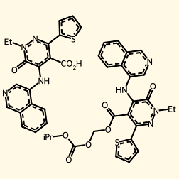 CCn1nc(-c2cccs2)c(C(=O)O)c(Nc2cncc3ccccc23)c1=O.CCn1nc(-c2cccs2)c(C(=O)OCOC(=O)OC(C)C)c(Nc2cncc3ccccc23)c1=O